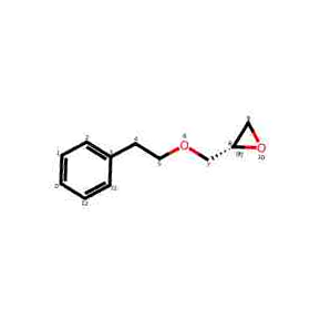 c1ccc(CCOC[C@@H]2CO2)cc1